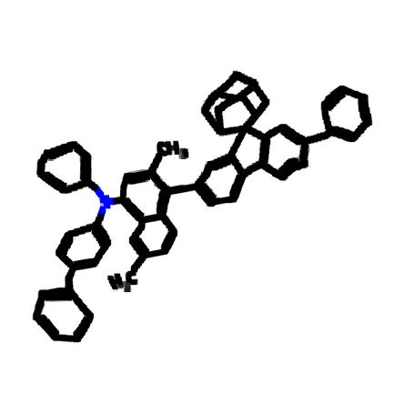 Cc1ccc2c(-c3ccc4c(c3)C3(c5cc(-c6ccccc6)ccc5-4)C4CC5CC(C4)CC3C5)c(C)cc(N(c3ccccc3)c3ccc(-c4ccccc4)cc3)c2c1